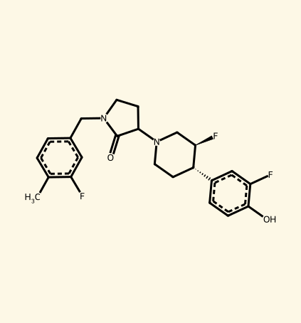 Cc1ccc(CN2CCC(N3CC[C@@H](c4ccc(O)c(F)c4)[C@H](F)C3)C2=O)cc1F